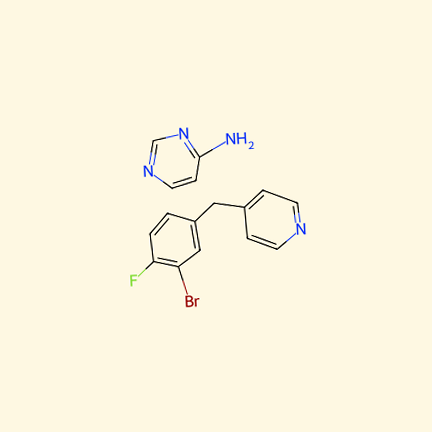 Fc1ccc(Cc2ccncc2)cc1Br.Nc1ccncn1